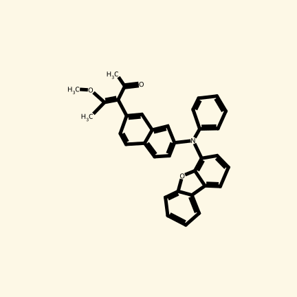 CO/C(C)=C(\C(C)=O)c1ccc2ccc(N(c3ccccc3)c3cccc4c3oc3ccccc34)cc2c1